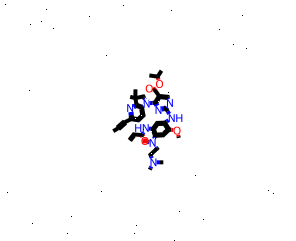 C=CC(=O)Nc1cc(Nc2ncc(C(=O)OC(C)C)c(N3CC(C)(C)c4nc(C#CC)ccc43)n2)c(OC)cc1N(C)CCN(C)C